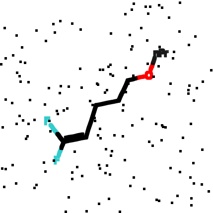 [CH2]CCOCCCC=C(F)F